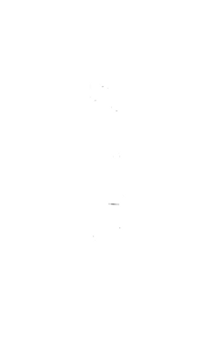 CCCC[Si](C)(C)O[Si](C)(C)CCCOCCOC(=O)CC(C)(C)CC(C)=O